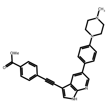 COC(=O)c1ccc(C#Cc2c[nH]c3ncc(-c4ccc(N5CCN(C)CC5)cc4)cc23)cc1